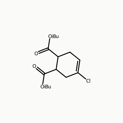 CC(C)COC(=O)C1CC=C(Cl)CC1C(=O)OCC(C)C